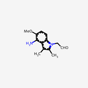 COc1ccc2c(c(C)c(C)n2CC=O)c1N